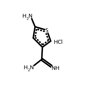 Cl.N=C(N)c1csc(N)c1